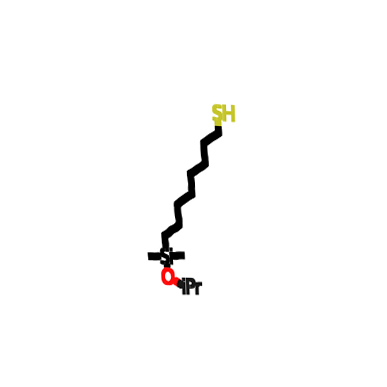 CC(C)O[Si](C)(C)CCCCCCCCS